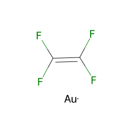 FC(F)=C(F)F.[Au]